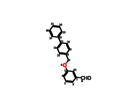 O=Cc1cccc(OCc2ccc(-c3ccccc3)cc2)c1